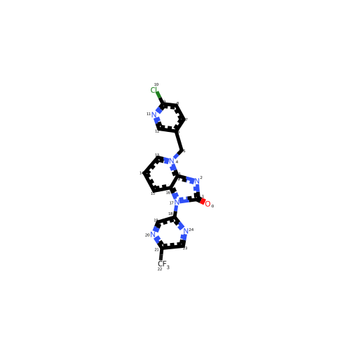 O=c1nc2n(Cc3ccc(Cl)nc3)cccc-2n1-c1cnc(C(F)(F)F)cn1